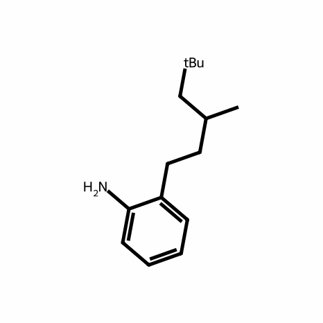 CC(CCc1ccccc1N)CC(C)(C)C